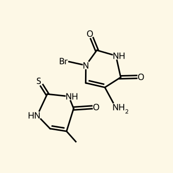 Cc1c[nH]c(=S)[nH]c1=O.Nc1cn(Br)c(=O)[nH]c1=O